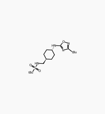 CC(C)(C)c1noc(N[C@H]2CC[C@H](CNS(=O)(=O)C(C)(C)C)CC2)n1